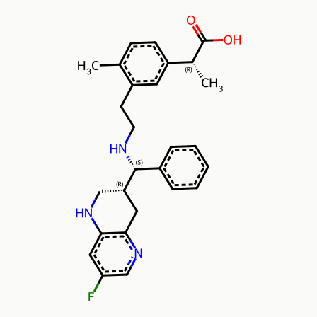 Cc1ccc([C@@H](C)C(=O)O)cc1CCN[C@H](c1ccccc1)[C@H]1CNc2cc(F)cnc2C1